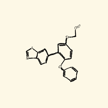 O=CCOc1ccc(Oc2ccccc2)c(-c2ccc3ncsc3c2)c1